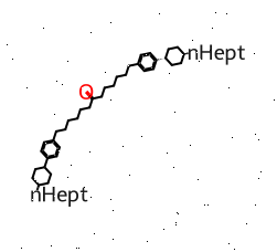 CCCCCCCC1CCC(c2ccc(CCCCCCC(=O)CCCCCCc3ccc([C@H]4CC[C@H](CCCCCCC)CC4)cc3)cc2)CC1